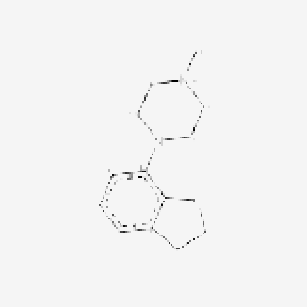 CN1CCN(c2cccc3c2OCC3)CC1